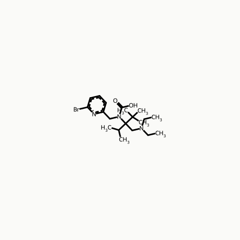 CCN(CC)CC(C(C)C)(N(Cc1cccc(Br)n1)C(=O)O)C(C)(C)C